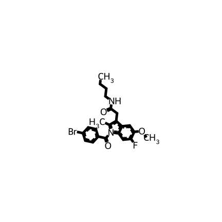 CCCCNC(=O)Cc1c(C)n(C(=O)c2ccc(Br)cc2)c2cc(F)c(OC)cc12